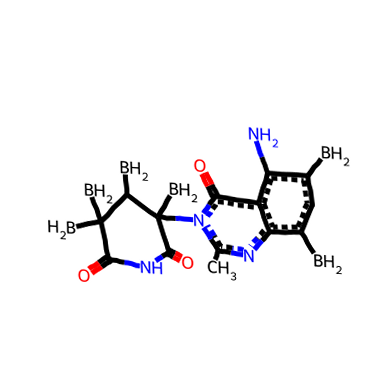 Bc1cc(B)c2nc(C)n(C3(B)C(=O)NC(=O)C(B)(B)C3B)c(=O)c2c1N